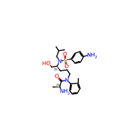 Cc1ccccc1N(CCC[C@@H](CO)N(CC(C)C)S(=O)(=O)c1ccc(N)cc1)C(=O)[C@H](C)N